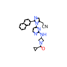 N#CCc1cnc(-c2ccc3ccccc3c2)n1-c1ccnc(NC2CN(C(=O)C3CC3)C2)n1